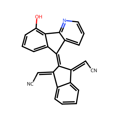 N#C/C=C1/C(=C2c3cccnc3-c3c(O)cccc32)/C(=C/C#N)c2ccccc21